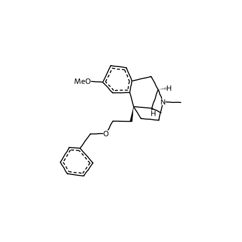 COc1ccc2c(c1)[C@@]1(CCOCc3ccccc3)CCN(C)[C@H](C2)[C@@H]1C